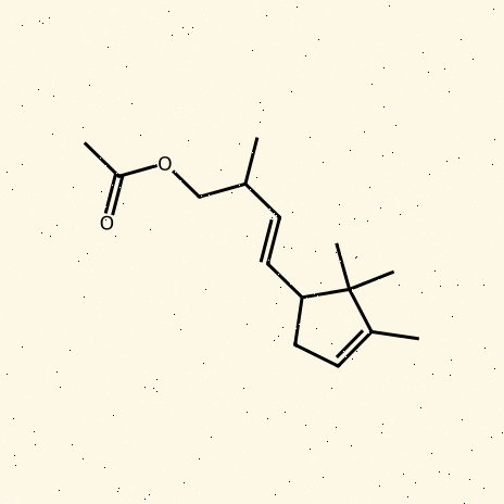 CC(=O)OCC(C)/C=C/C1CC=C(C)C1(C)C